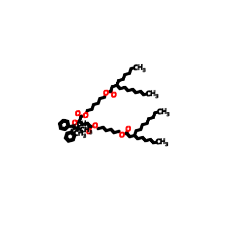 CCCCCCCCC(CCCCCC)CC(=O)OCCCCCCOC(=O)CCC(O[Si](c1ccccc1)(c1ccccc1)C(C)(C)C)C(=O)OCCCCCCOC(=O)CC(CCCCCC)CCCCCCCC